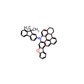 CC1(C)c2ccccc2-c2ccc(N(c3ccc4c(c3)oc3ccccc34)c3ccccc3-c3cccc4cccc(C5CCCCC5)c34)cc21